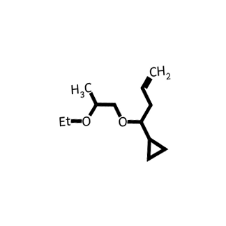 C=CCC(OCC(C)OCC)C1CC1